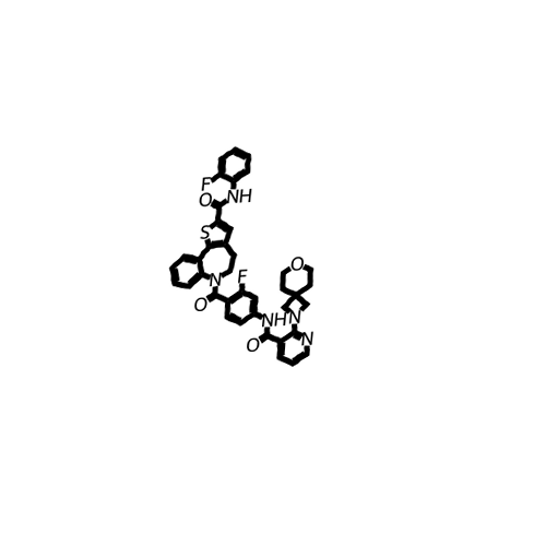 O=C(Nc1ccccc1F)c1cc2c(s1)-c1ccccc1N(C(=O)c1ccc(NC(=O)c3cccnc3N3CC4(CCOCC4)C3)cc1F)CC2